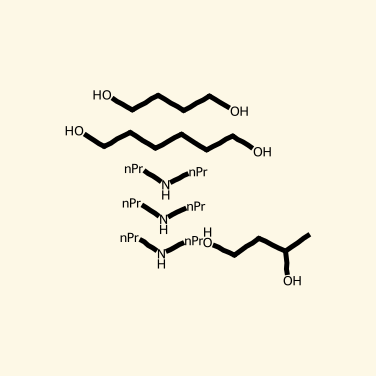 CC(O)CCO.CCCNCCC.CCCNCCC.CCCNCCC.OCCCCCCO.OCCCCO